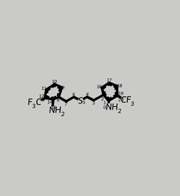 Nc1c(CCSCCc2cccc(C(F)(F)F)c2N)cccc1C(F)(F)F